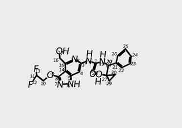 O=C(Nc1cc2[nH]nc(OCC(F)F)c2c(CO)n1)N[C@@H](c1ccccc1)C1(O)CC1